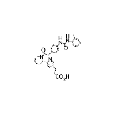 Cc1ccccc1NC(=O)Nc1ccc(CC(=O)N2CC=CCC2c2ncc(CCC(=O)O)s2)cc1